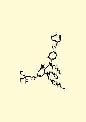 CCN(C=O)c1cc(OCC(F)(F)F)cnc1N(C)c1ccc(OCc2ccccc2)cc1